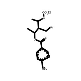 CCCCc1ccc(C(=O)OC(C)C(CC(C)C)C(C)OC(=O)OCC)cc1